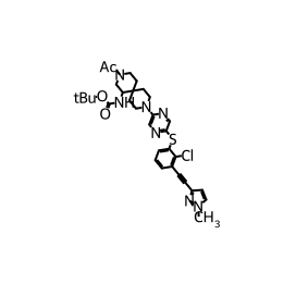 CC(=O)N1CCC2(CCN(c3cnc(Sc4cccc(C#Cc5ccn(C)n5)c4Cl)cn3)CC2)C(NC(=O)OC(C)(C)C)C1